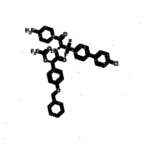 NC1CCN(C(=O)[C@@H](NC(=O)[C@@H](OC(=O)C(F)(F)F)c2ccc(OCC3CCCCC3)cc2)C(F)(F)c2ccc(-c3ccc(Cl)cc3)cc2)CC1